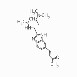 CC(=O)/C=C/c1ccc2nc([C@@H](CCN(C)C)NC(C)C)[nH]c2c1